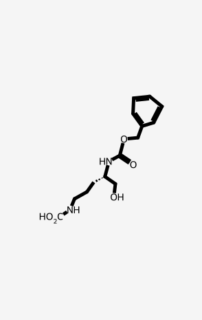 O=C(O)NCCC[C@@H](CO)NC(=O)OCc1ccccc1